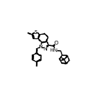 Cc1ccc(Cn2nc(C(=O)NCC3CCC4CC3C4(C)C)c3c2-c2cc(C)sc2CC3)cc1